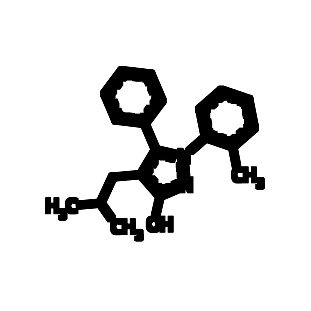 Cc1ccccc1-n1nc(O)c(CC(C)C)c1-c1ccccc1